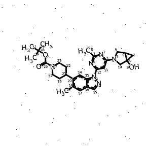 Cc1nc(N2CC3CC3(O)C2)cc(-n2ncc3cc(C)c(C4CCN(C(=O)OC(C)(C)C)CC4)cc32)n1